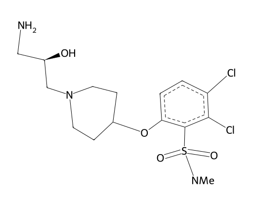 CNS(=O)(=O)c1c(OC2CCN(C[C@H](O)CN)CC2)ccc(Cl)c1Cl